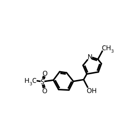 Cc1ccc(C(O)c2ccc(S(C)(=O)=O)cc2)cn1